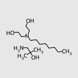 CC(C)(O)CN.CCCCCCCCN(CCO)CCO